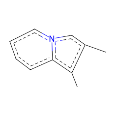 Cc1cn2ccccc2c1C